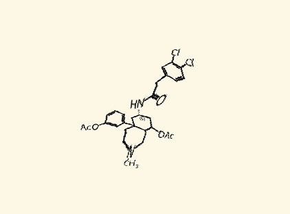 CC(=O)Oc1cccc(C23CCN(C)CC2C(OC(C)=O)C[C@@H](NC(=O)Cc2ccc(Cl)c(Cl)c2)C3)c1